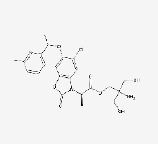 Cc1cccc(C(C)Oc2cc3oc(=O)n([C@H](C)C(=O)OCC(N)(CO)CO)c3cc2Cl)n1